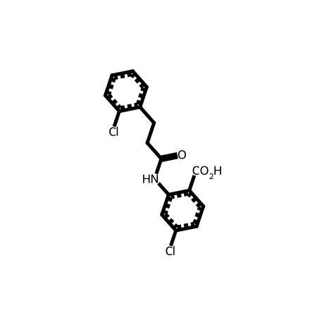 O=C(CCc1ccccc1Cl)Nc1cc(Cl)ccc1C(=O)O